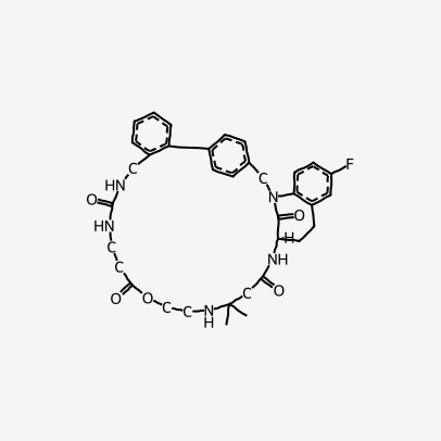 CC1(C)CC(=O)N[C@@H]2CCc3cc(F)ccc3N(Cc3ccc(cc3)-c3ccccc3CNC(=O)NCCC(=O)OCCN1)C2=O